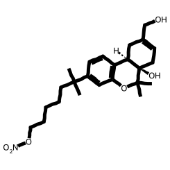 CC(C)(CCCCCO[N+](=O)[O-])c1ccc2c(c1)OC(C)(C)[C@@]1(O)CC=C(CO)C[C@H]21